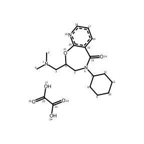 CN(C)CC1CN(C2CCCCC2)C(=O)c2cccnc2O1.O=C(O)C(=O)O